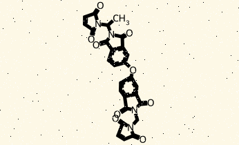 CC(N1C(=O)C=CC1=O)N1C(=O)c2ccc(Oc3ccc4c(c3)C(=O)N(CN3C(=O)C=CC3=O)C4=O)cc2C1=O